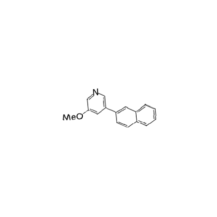 COc1cncc(-c2ccc3ccccc3c2)c1